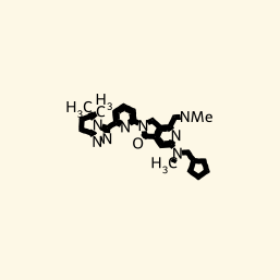 CNCc1nc(N(C)CC2CCCC2)cc2c1CN(c1cccc(-c3nnc4n3C(C)(C)CC4)n1)C2=O